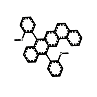 COc1ccccc1-c1c2ccccc2c(-c2ccccc2OC)c2cc3c(ccc4ccccc43)cc12